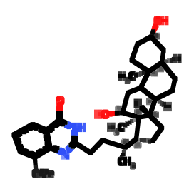 COc1cccc2c(=O)[nH]c(CC[C@@H](C)[C@H]3CC[C@H]4[C@@H]5CC[C@@H]6C[C@H](O)CC[C@]6(C)C5C[C@H](O)[C@]34C)nc12